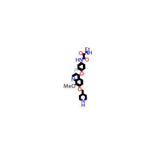 CCNC(=O)C(=O)Nc1ccc(Oc2ccnc3c(OC)c(OCC4CCNCC4)ccc23)c(F)c1